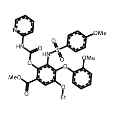 CCOc1cc(C(=O)OC)c(OC(=O)Nc2ccccn2)c(NS(=O)(=O)c2ccc(OC)cc2)c1Oc1ccccc1OC